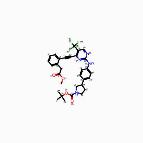 COC(=O)Cc1ccccc1C#Cc1nc(Nc2ccc(C3CCN(C(=O)OC(C)(C)C)C3)cc2)ncc1C(F)(F)F